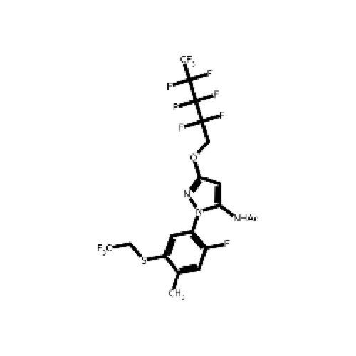 CC(=O)Nc1cc(OCC(F)(F)C(F)(F)C(F)(F)C(F)(F)F)nn1-c1cc(SCC(F)(F)F)c(C)cc1F